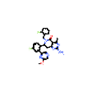 COc1cncc(-c2cc(F)ccc2C2Cc3nc(N)nc(C)c3C(=O)N2Cc2ccccc2F)n1